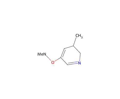 CNOC1=CC(C)CN=C1